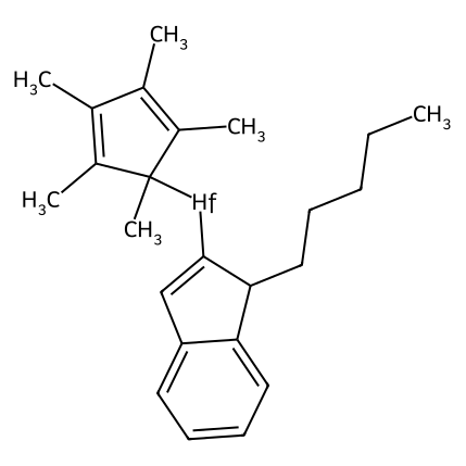 CCCCCC1[C]([Hf][C]2(C)C(C)=C(C)C(C)=C2C)=Cc2ccccc21